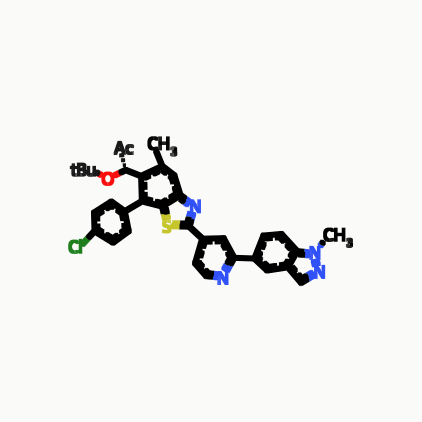 CC(=O)[C@@H](OC(C)(C)C)c1c(C)cc2nc(-c3ccnc(-c4ccc5c(cnn5C)c4)c3)sc2c1-c1ccc(Cl)cc1